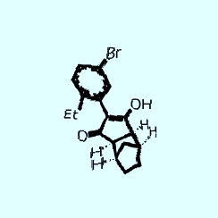 CCc1ccc(Br)cc1C1=C(O)[C@H]2[C@H]3CC[C@H](C3)[C@H]2C1=O